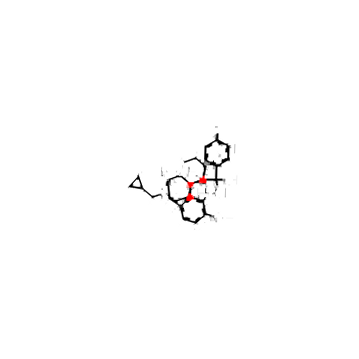 CO[C@]12CC[C@@]3(C[C@@H]1C(C)(O)c1ccc(F)cc1)[C@H]1Cc4ccc(O)c5c4[C@@]3(CCN1CC1CC1)[C@H]2O5